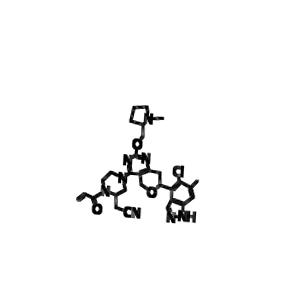 C=CC(=O)N1CCN(c2nc(OCC3CCCN3C)nc3c2COC(c2c(Cl)c(C)cc4[nH]ncc24)C3)CC1CC#N